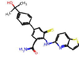 CC(C)(O)c1ccc(C2=CC(C(N)=O)=C(Nc3ccc4sccc4n3)C(=S)C2)cc1